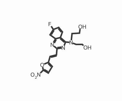 O=[N+]([O-])c1ccc(C=Cc2nc(N(CCO)CCO)c3ccc(F)cc3n2)o1